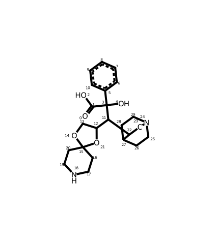 O=C(O)C(O)(c1ccccc1)C(C1COC2(CCNCC2)O1)C1CN2CCC1CC2